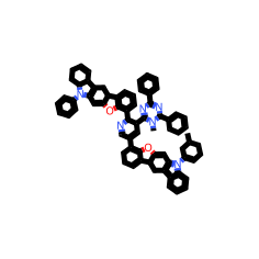 CC1CCC=C(n2c3c(c4ccccc42)CC2C(=C3)OC3=C(C4=CC(C5=NC(c6ccccc6)=NC(C6=CC=CCC6)N5C)C(c5cccc6c5OC5=CC7=C(CC56)C5C=CCCC5N7c5ccccc5)N=C4)CCC=C32)C1